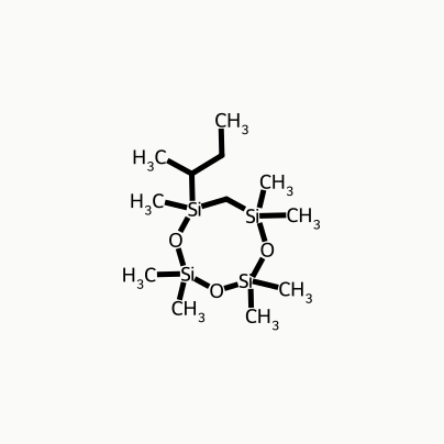 CCC(C)[Si]1(C)C[Si](C)(C)O[Si](C)(C)O[Si](C)(C)O1